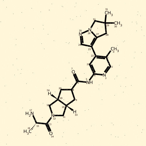 Cc1cnc(NC(=O)C2C[C@@H]3CN(C(=O)[C@H](C)N)C[C@@H]3C2)cc1-c1cnn2c1CC(C)(C)C2